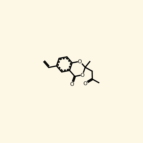 C=Cc1ccc2c(c1)C(=O)OC(C)(CC(C)=O)O2